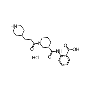 Cl.O=C(O)c1ccccc1NC(=O)[C@@H]1CCCN(C(=O)CCC2CCNCC2)C1